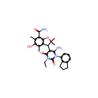 CCn1c(=O)c(C2c3c(C)c(O)c(C)c(C(N)=O)c3OC2(C)C)c(N)n(-c2cccc3c2CCC3)c1=O